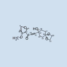 COc1ncccc1C(=O)C#CC1(O)CCC2(CC1)OCCO2